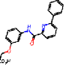 O=C(O)COc1cccc(NC(=O)c2cccc(-c3ccccc3)n2)c1